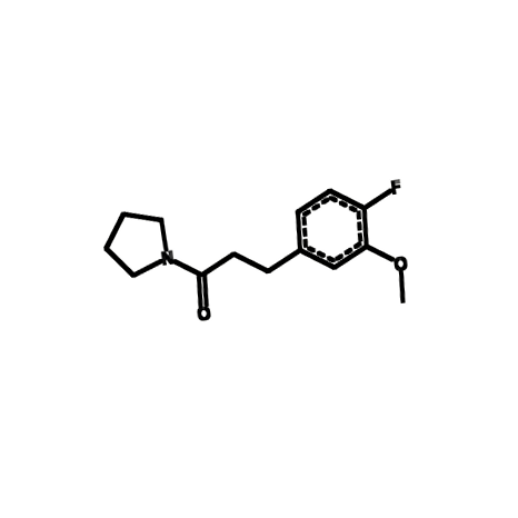 COc1cc(CCC(=O)N2CCCC2)ccc1F